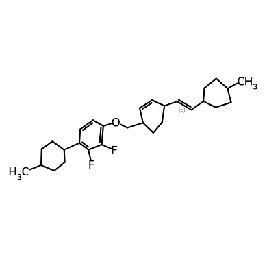 CC1CCC(/C=C/C2C=CC(COc3ccc(C4CCC(C)CC4)c(F)c3F)CC2)CC1